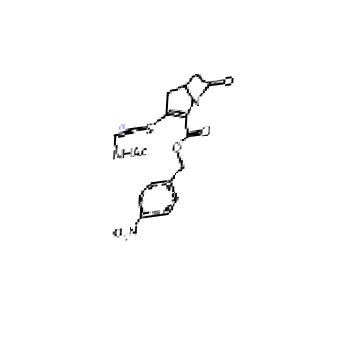 CC(=O)N/C=C\SC1=C(C(=O)OCc2ccc([N+](=O)[O-])cc2)N2C(=O)CC2C1